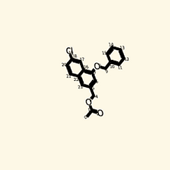 CC(=O)OCc1cc(OCc2ccccc2)c2cc(Cl)ccc2c1